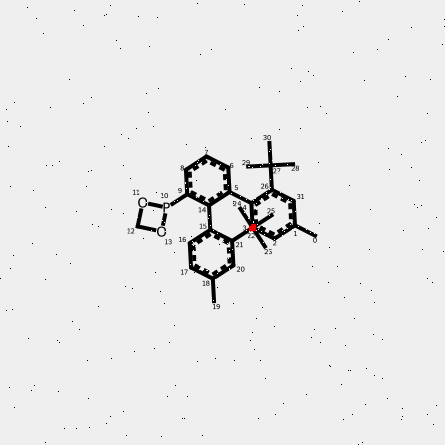 Cc1ccc(-c2cccc(P3OCO3)c2-c2ccc(C)cc2C(C)(C)C)c(C(C)(C)C)c1